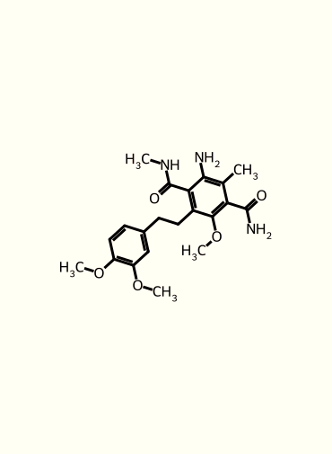 CNC(=O)c1c(N)c(C)c(C(N)=O)c(OC)c1CCc1ccc(OC)c(OC)c1